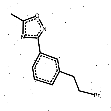 Cc1nc(-c2cccc(CCBr)c2)no1